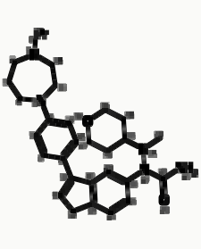 CC(C)N1CCCN(c2ccc(C3=CCc4ccc(N(C(N)=O)N(C)C5CCOCC5)cc43)cc2)CC1